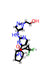 O=C(C1CC1(F)F)N1C2C=C(c3ccnc(Nc4cnn(CCO)c4)n3)CC1CC2